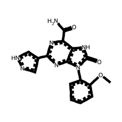 COc1ccccc1-n1c(=O)[nH]c2c(C(N)=O)nc(-c3cn[nH]c3)nc21